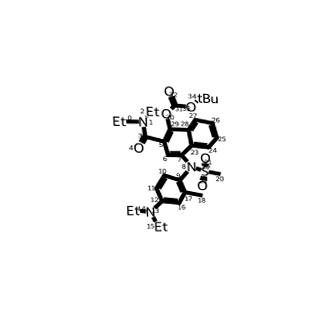 CCN(CC)C(=O)c1cc(N(c2ccc(N(CC)CC)cc2C)S(C)(=O)=O)c2ccccc2c1OC(=O)OC(C)(C)C